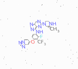 C[C@@H]1CN(c2ncc3ncnc(Nc4ccc(Oc5ccn6ncnc6c5)c(C(F)(F)F)c4F)c3n2)CCN1